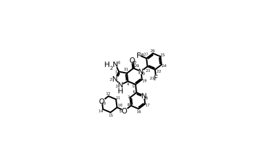 Nc1n[nH]c2c(-c3cc(OC4CCOCC4)ccn3)cn(-c3c(F)cccc3F)c(=O)c12